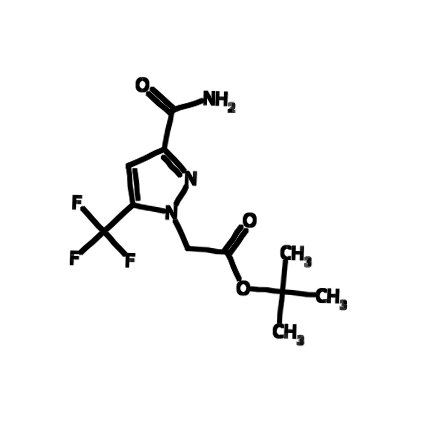 CC(C)(C)OC(=O)Cn1nc(C(N)=O)cc1C(F)(F)F